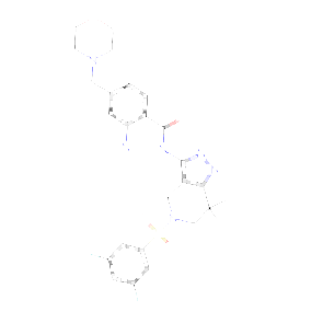 CC1(C)CN(S(=O)(=O)c2cc(F)cc(F)c2)Cc2c(NC(=O)c3ccc(CN4CCOCC4)cc3N)n[nH]c21